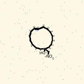 O=[N+]([O-])CC1(O)CCCCCC/C=C/CCCCCCC1